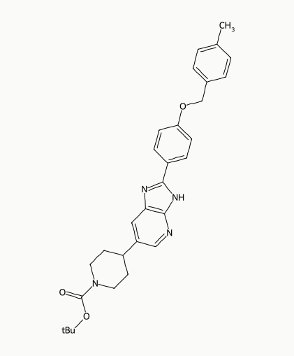 Cc1ccc(COc2ccc(-c3nc4cc(C5CCN(C(=O)OC(C)(C)C)CC5)cnc4[nH]3)cc2)cc1